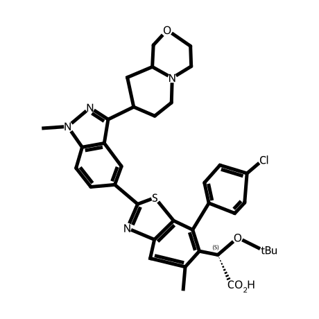 Cc1cc2nc(-c3ccc4c(c3)c(C3CCN5CCOCC5C3)nn4C)sc2c(-c2ccc(Cl)cc2)c1[C@H](OC(C)(C)C)C(=O)O